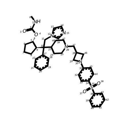 CNC(=O)O[C@H]1CCC[C@@H]1C(Cn1ccnc1)(c1ccccc1)C1CCN(CC2CN(c3ccc(S(=O)(=O)c4ccccc4)cc3)C2)CC1